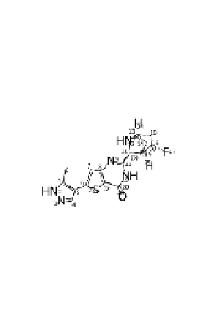 Cc1[nH]ncc1-c1cc2nc([C@H]3N[C@@H]4C[C@H]3[C@@H](F)C4)[nH]c(=O)c2s1